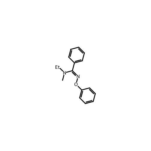 CCN(C)C(=NOc1ccccc1)c1ccccc1